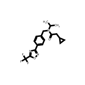 CC(C)N(Cc1ccc(-c2noc(C(F)(F)F)n2)cc1)C(=O)CC1CC1